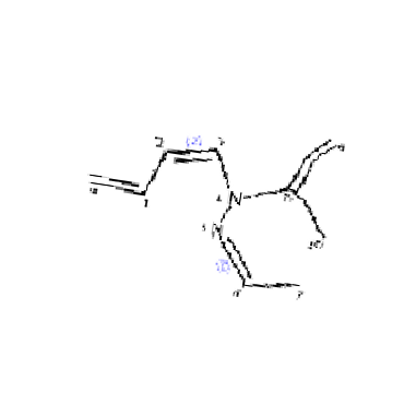 C=C/C=C\N(/N=C\C)C(=C)C